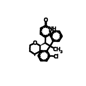 CC(c1ccccc1)(c1ccccc1Cl)C(c1ccc(=O)[nH]c1)[C@@H]1C[CH]CCO1